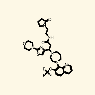 O=C(CC(c1csc(N2CCOCC2)n1)N1CCCN(c2c(OC(F)(F)F)ccc3cccnc23)CC1)NCCN1CCCC1=O